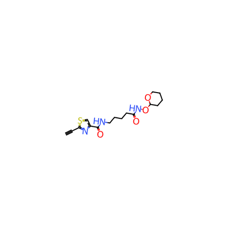 C#Cc1nc(C(=O)NCCCCC(=O)NOC2CCCCO2)cs1